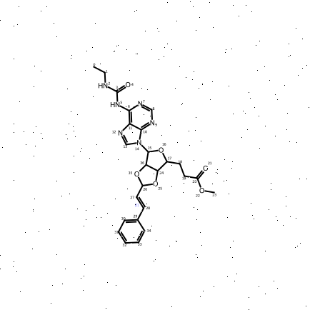 CCNC(=O)Nc1ncnc2c1ncn2C1OC(CCC(=O)OC)C2OC(/C=C/c3ccccc3)OC21